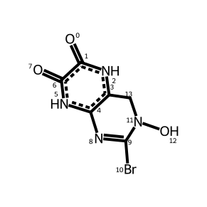 O=c1[nH]c2c([nH]c1=O)N=C(Br)N(O)C2